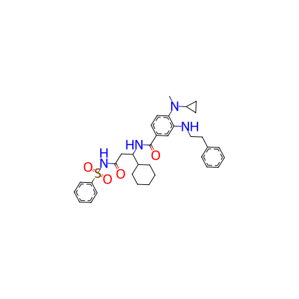 CN(c1ccc(C(=O)NC(CC(=O)NS(=O)(=O)c2ccccc2)C2CCCCC2)cc1NCCc1ccccc1)C1CC1